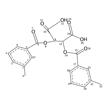 Cc1cccc(C(=O)OC(C(=O)O)C(OC(=O)c2cccc(C)c2)C(=O)O)c1